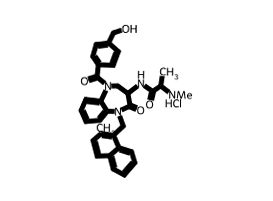 CNC(C)C(=O)NC1CN(C(=O)c2ccc(CO)cc2)c2ccccc2N(Cc2c(C)ccc3ccccc23)C1=O.Cl